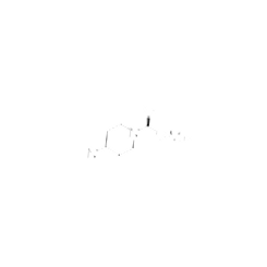 COC(=O)N1CCC([NH])CC1